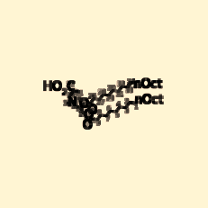 CCCCCCCCC=CCCCCCCCC(=O)OCC(C[N+](C)(C)CC(C)C(=O)O)OC(=O)CCCCCCCC=CCCCCCCCC